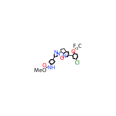 COC(=O)Nc1ccc(-c2cnn(C3CCc4cc(-c5cc(Cl)ccc5OCC(F)(F)F)c[n+]([O-])c43)c2)cc1